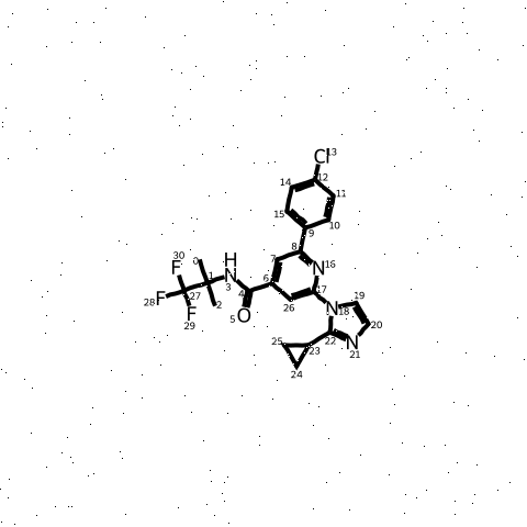 CC(C)(NC(=O)c1cc(-c2ccc(Cl)cc2)nc(-n2ccnc2C2CC2)c1)C(F)(F)F